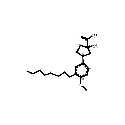 CCCCCCCCc1cc([C@H]2CCC(N)(C(=O)O)C2)ccc1OC